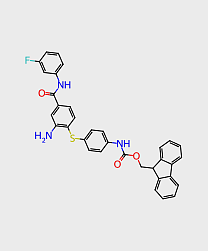 Nc1cc(C(=O)Nc2cccc(F)c2)ccc1Sc1ccc(NC(=O)OCC2c3ccccc3-c3ccccc32)cc1